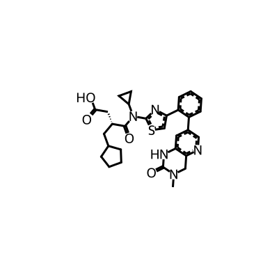 CN1Cc2ncc(-c3ccccc3-c3csc(N(C(=O)[C@@H](CC(=O)O)CC4CCCC4)C4CC4)n3)cc2NC1=O